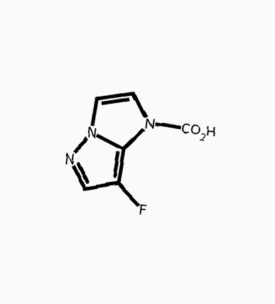 O=C(O)n1ccn2ncc(F)c12